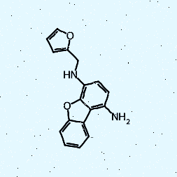 Nc1ccc(NCc2ccco2)c2oc3ccccc3c12